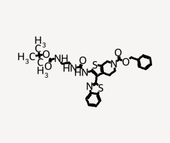 CC(C)(C)OC(=O)NCCNC(=O)Nc1sc2c(c1-c1nc3ccccc3s1)CCN(C(=O)OCc1ccccc1)C2